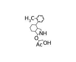 CC(=O)C(CO)OC1NCC2C(c3ccccc3C)CCCC12